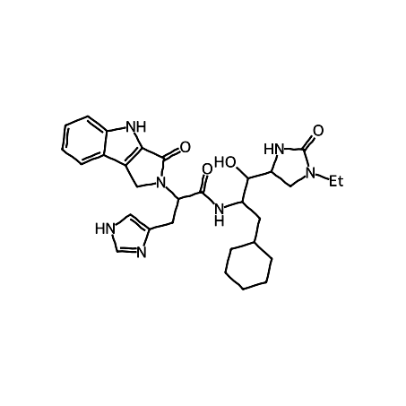 CCN1CC(C(O)C(CC2CCCCC2)NC(=O)C(Cc2c[nH]cn2)N2Cc3c([nH]c4ccccc34)C2=O)NC1=O